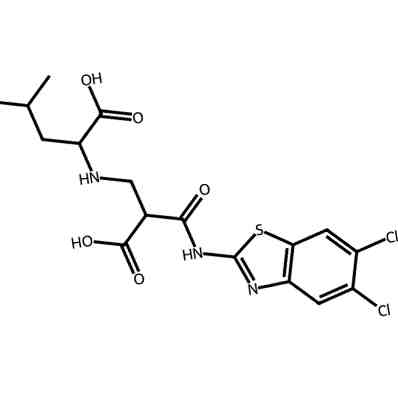 CC(C)CC(NCC(C(=O)O)C(=O)Nc1nc2cc(Cl)c(Cl)cc2s1)C(=O)O